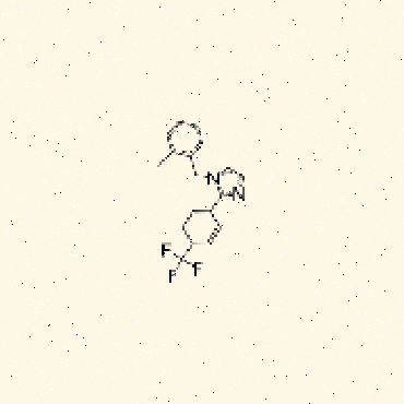 Cc1ccccc1Cn1ccnc1C1=CCC(C(F)(F)F)C=C1